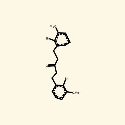 COc1cccc(CCC(=O)CCc2cccc(OC)c2Br)c1Br